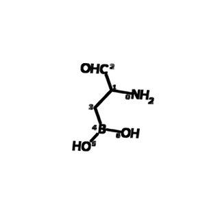 NC(C=O)CB(O)O